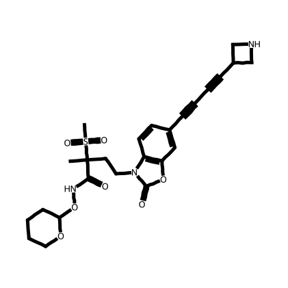 CC(CCn1c(=O)oc2cc(C#CC#CC3CNC3)ccc21)(C(=O)NOC1CCCCO1)S(C)(=O)=O